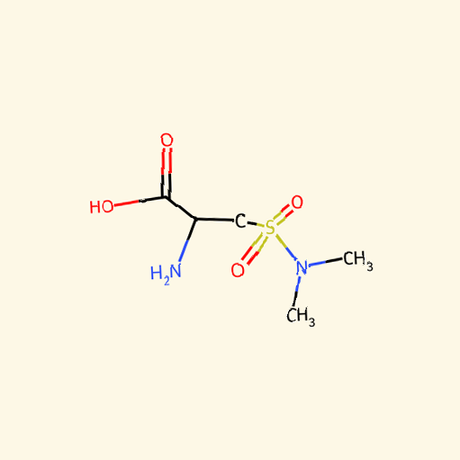 CN(C)S(=O)(=O)CC(N)C(=O)O